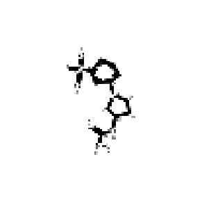 CS(=O)(=O)c1cccc(N2CCC(OC(N)=O)C2)c1